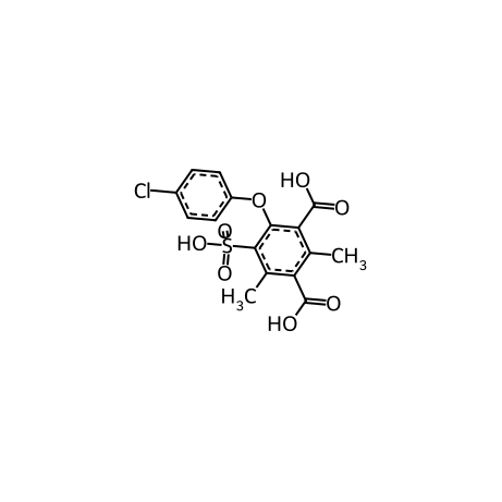 Cc1c(C(=O)O)c(C)c(S(=O)(=O)O)c(Oc2ccc(Cl)cc2)c1C(=O)O